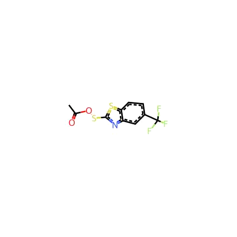 CC(=O)OSc1nc2cc(C(F)(F)F)ccc2s1